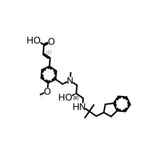 COc1ccc(/C=C/C(=O)O)cc1CN(C)C[C@H](O)CNC(C)(C)CC1Cc2ccccc2C1